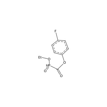 CCO[PH](=O)C(=O)Oc1ccc(F)cc1